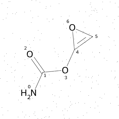 NC(=O)OC1=CO1